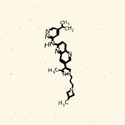 Cc1nn(CCCN2CC(C)C2)cc1-c1cnc2ccc(Nc3cc(C(C)C)cnn3)nc2c1